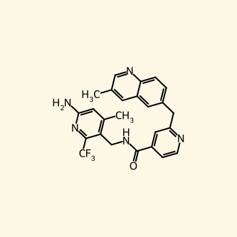 Cc1cnc2ccc(Cc3cc(C(=O)NCc4c(C)cc(N)nc4C(F)(F)F)ccn3)cc2c1